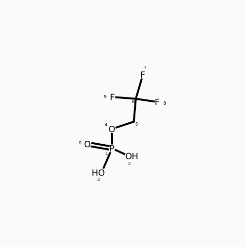 O=P(O)(O)OCC(F)(F)F